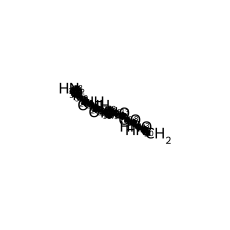 C=CC(=O)NCNC(=O)CCOC(=O)CCN1CCN(CCC(=O)NCNC(=O)CCN2CCNCC2)CC1